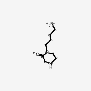 NCCCCN1CCNCC1=O